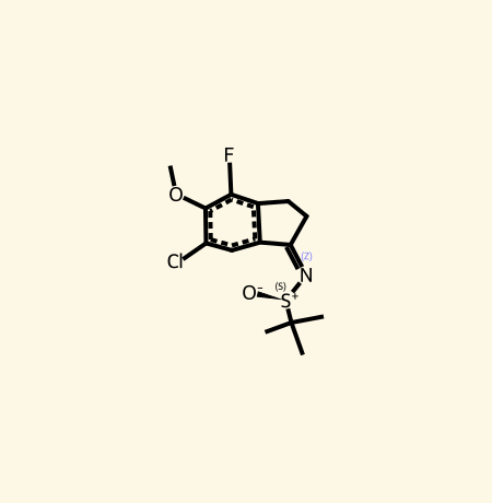 COc1c(Cl)cc2c(c1F)CC/C2=N/[S@+]([O-])C(C)(C)C